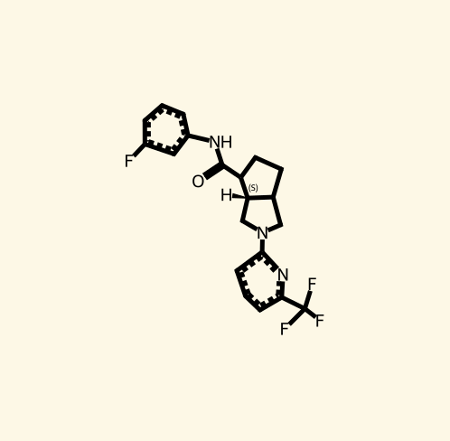 O=C(Nc1cccc(F)c1)C1CCC2CN(c3cccc(C(F)(F)F)n3)C[C@@H]21